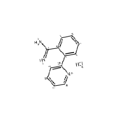 Cl.N=C(N)c1ccccc1-c1ccccn1